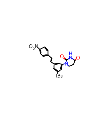 CC(C)(C)c1cc(/C=C/c2ccc([N+](=O)[O-])cc2)cc(N2CCC(=O)NC2=O)c1